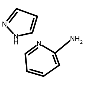 Nc1ccccn1.c1cn[nH]c1